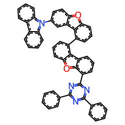 c1ccc(-c2nc(-c3ccccc3)nc(-c3cccc4c3oc3cccc(-c5cccc6oc7ccc(-n8c9ccccc9c9ccccc98)cc7c56)c34)n2)cc1